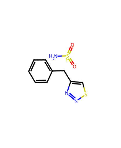 N[SH](=O)=O.c1ccc(Cc2csnn2)cc1